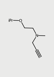 C#CCN(C)CCOC(C)C